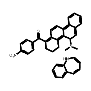 C1=CNc2ccccc2C=C1.CN(C)C1C=c2ccccc2=c2ccc3c(c21)CCCC=3C(=O)c1ccc([N+](=O)[O-])cc1